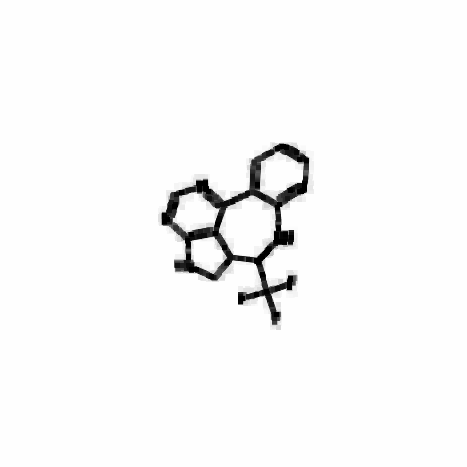 FC(F)(F)C1Nc2ccccc2-c2ncnc3c2C1CN3